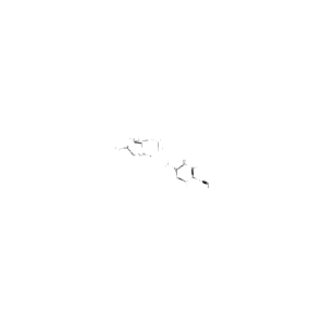 C#Cc1ccc(CO[C@@H]2COc3nc([N+](=O)[O-])cn3C2)cc1